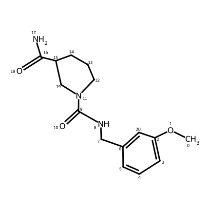 COc1cccc(CNC(=O)N2CCCC(C(N)=O)C2)c1